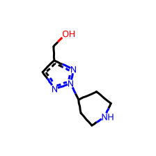 OCc1cnn(C2CCNCC2)n1